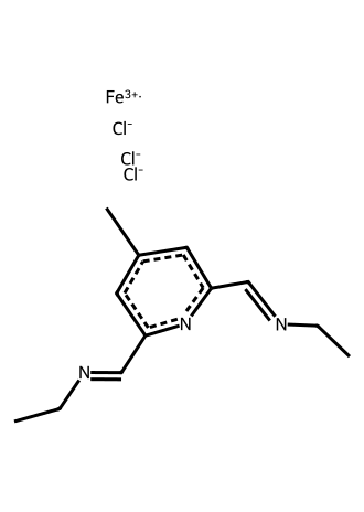 CCN=Cc1cc(C)cc(C=NCC)n1.[Cl-].[Cl-].[Cl-].[Fe+3]